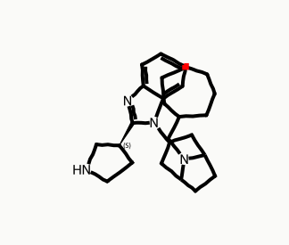 c1ccc2c(c1)nc([C@H]1CCNC1)n2C1CC2CCC(C1)N2CC1CCCCCC1